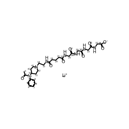 CC(=O)N(c1ccccc1)C1CCN(CCNC(=O)CCCC(=O)NCC(=O)NCC(=O)NCC(=O)NCC(=O)[O-])CC1.[Li+]